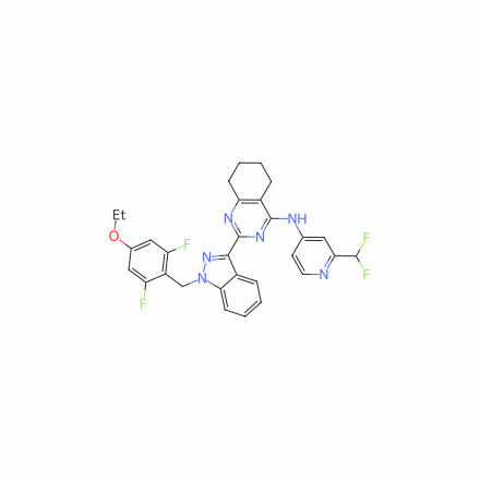 CCOc1cc(F)c(Cn2nc(-c3nc4c(c(Nc5ccnc(C(F)F)c5)n3)CCCC4)c3ccccc32)c(F)c1